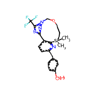 C[Si]1(C)CCOCn2nc(nc2C(F)(F)F)-c2ccc(-c3ccc(O)cc3)nc21